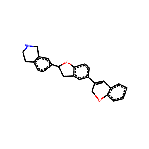 C1=C(c2ccc3c(c2)CC(c2ccc4c(c2)CNCC4)O3)COc2ccccc21